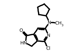 CN(c1cc2c(c(Cl)n1)CNC2=O)C1CCCC1